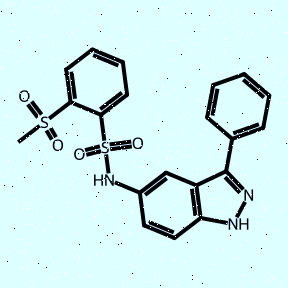 CS(=O)(=O)c1ccccc1S(=O)(=O)Nc1ccc2[nH]nc(-c3ccccc3)c2c1